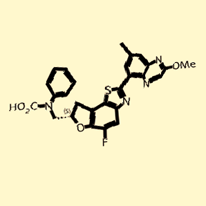 COc1cnc2c(-c3nc4cc(F)c5c(c4s3)C[C@@H](CN(C(=O)O)c3ccccc3)O5)cc(C)cc2n1